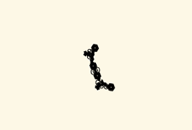 C=C(C)C(=O)OC(COc1ccccc1)CSc1ccc(S(=O)(=O)c2ccc(SCC(COc3ccccc3)OC(=O)C(=C)C)cc2)cc1